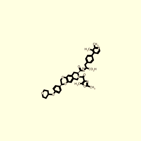 Cc1nc(C(=O)N2Cc3cc4c(cc3C[C@H]2C(=O)NC(Cc2ccc(-c3ccnc(C)c3C)cc2)C(=O)O)OC[C@H](c2ccc(OC3CCOCC3)cc2)O4)c(C)o1